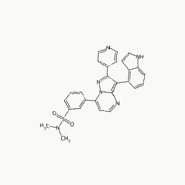 CN(C)S(=O)(=O)c1cccc(-c2ccnc3c(-c4cccc5[nH]ccc45)c(-c4ccncc4)nn23)c1